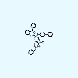 O=C(Cc1ccccc1)N[C@@H]1C(=O)N2CC(Sc3ccc(-c4ccccc4)cc3)(C(=O)OC(c3ccccc3)c3ccccc3)CS[C@H]12